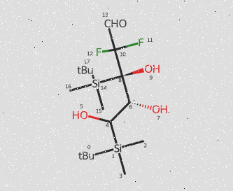 CC(C)(C)[Si](C)(C)C(O)[C@@H](O)[C@@](O)(C(F)(F)C=O)[Si](C)(C)C(C)(C)C